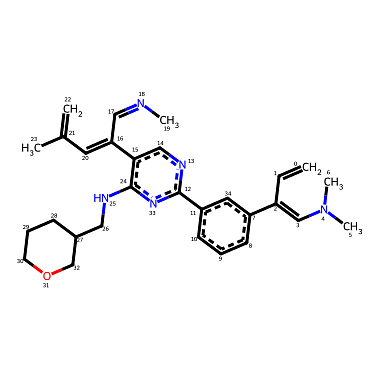 C=C/C(=C\N(C)C)c1cccc(-c2ncc(C(/C=N\C)=C/C(=C)C)c(NCC3CCCOC3)n2)c1